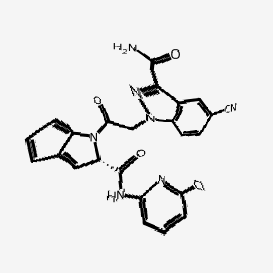 N#Cc1ccc2c(c1)c(C(N)=O)nn2CC(=O)N1C2=CC=CC2=C[C@H]1C(=O)Nc1cccc(Cl)n1